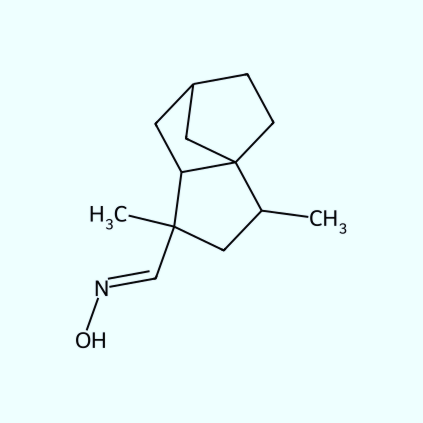 CC1CC(C)(C=NO)C2CC3CCC12C3